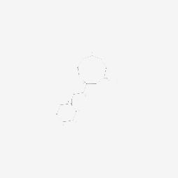 CC1CCCCCCC(CCN2CCCCC2)C1